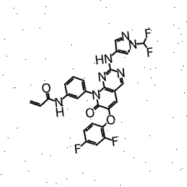 C=CC(=O)Nc1cccc(-n2c(=O)c(Oc3ccc(F)cc3F)cc3cnc(Nc4cnn(C(F)F)c4)nc32)c1